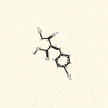 COC(=O)/C(=C\c1ccc(Cl)cc1)C(=O)CCl